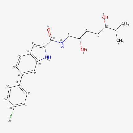 CC(C)C(O)CC[C@H](O)CNC(=O)c1cc2ccc(-c3ccc(F)cc3)cc2[nH]1